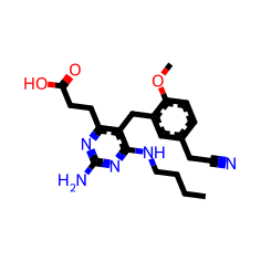 CCCCNc1nc(N)nc(CCC(=O)O)c1Cc1cc(CC#N)ccc1OC